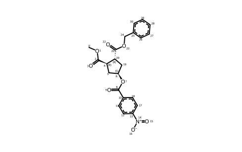 COC(=O)[C@@H]1C[C@H](OC(=O)c2ccc([N+](=O)[O-])cc2)C[C@H]1C(=O)OCc1ccccc1